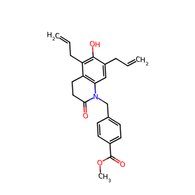 C=CCc1cc2c(c(CC=C)c1O)CCC(=O)N2Cc1ccc(C(=O)OC)cc1